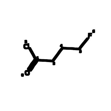 O=C(Cl)CCCF